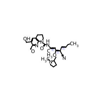 CC/C=C/C(C#N)=C(\C=C(/C)NC(=O)N1CCCc2cc(CO)c(C=O)nc21)OCC1CCCN1C